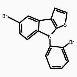 Brc1ccc2c(c1)c1ccsc1n2-c1ccccc1Br